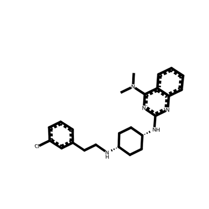 CN(C)c1nc(N[C@H]2CC[C@@H](NCCc3cccc(Cl)c3)CC2)nc2ccccc12